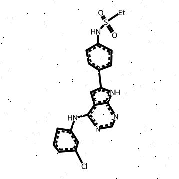 CCS(=O)(=O)Nc1ccc(-c2cc3c(Nc4cccc(Cl)c4)ncnc3[nH]2)cc1